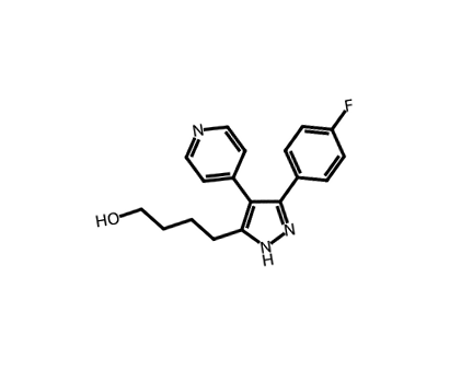 OCCCCc1[nH]nc(-c2ccc(F)cc2)c1-c1ccncc1